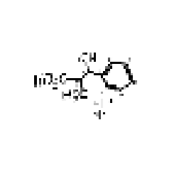 CC(C(=O)O)C(C#N)c1ccccc1.[I-].[Li+]